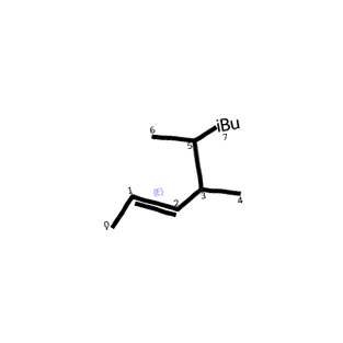 [CH2]/C=C/C(C)C(C)C(C)C[CH2]